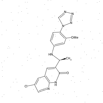 COc1cc(N[C@@H](C)c2cc3cc(Cl)cnc3[nH]c2=O)ccc1-n1cnnn1